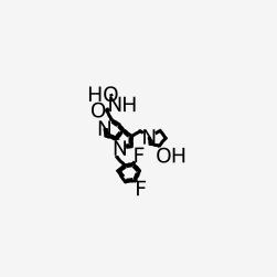 O=C(NO)c1cc2c(CN3CCC(O)C3)cn(Cc3ccc(F)cc3F)c2cn1